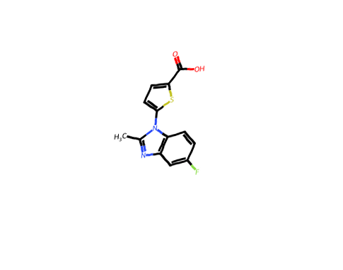 Cc1nc2cc(F)ccc2n1-c1ccc(C(=O)O)s1